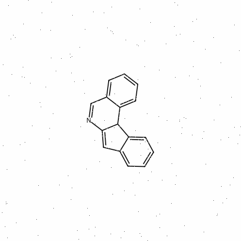 C1=NC2=Cc3ccccc3C2c2ccccc21